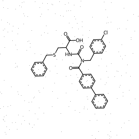 O=C(O)C(CSCc1ccccc1)NC(=O)N(Cc1ccc(Cl)cc1)C(=O)c1ccc(-c2ccccc2)cc1